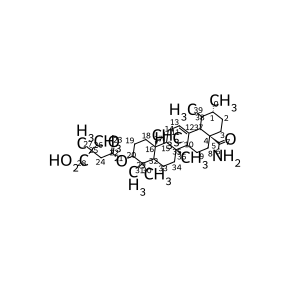 C[C@@H]1CC[C@]2(C(N)=O)CC[C@]3(C)C(=CCC4[C@@]5(C)CCC(OC(=O)CC(C)(C)C(=O)O)C(C)(C)C5CC[C@]43C)C2[C@H]1C